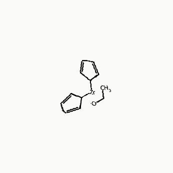 C1=C[CH]([Zr][CH]2C=CC=C2)C=C1.CC[O]